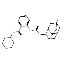 O=C(Nc1ccccc1C(=O)NC1CCCCC1)NC1C2CC3CC1CC(O)(C3)C2